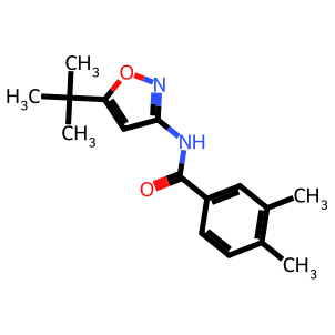 Cc1ccc(C(=O)Nc2cc(C(C)(C)C)on2)cc1C